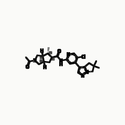 CC(=O)N1C[C@H]2C[C@H](C(=O)Nc3cc(-c4cnn5c4CC(C)(C)C5)c(Cl)cn3)[C@@H](C)[C@H]2C1